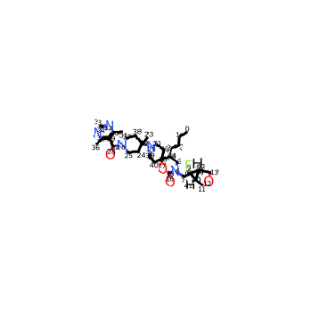 CCCC[C@H]1CN(C[C@@]2(F)[C@@H]3COC[C@@H]32)C(=O)OC12CCN(C1(C)CCN(C(=O)c3c(C)ncnc3C)CC1)CC2